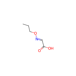 CCCON=CC(=O)O